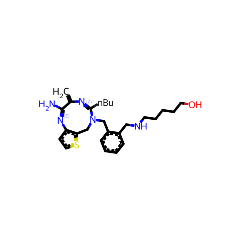 C=C1/N=C(/CCCC)N(Cc2ccccc2CNCCCCCO)Cc2sccc2/N=C\1N